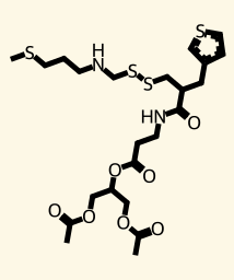 CSCCCNCSSCC(Cc1ccsc1)C(=O)NCCC(=O)OC(COC(C)=O)COC(C)=O